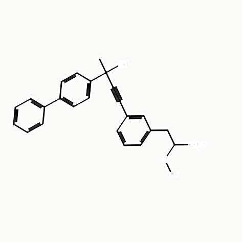 CC(C)OC(Cc1cccc(C#CC(C)(O)c2ccc(-c3ccccc3)cc2)c1)C(=O)O